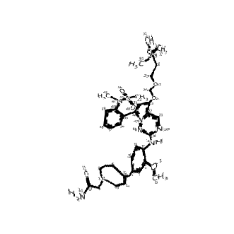 COc1cc(C2CCN(CC(N)=O)CC2)ccc1Nc1ncc2c(OCOCC[Si](C)(C)C)cc(-c3ccccc3N(C)S(C)(=O)=O)n2n1